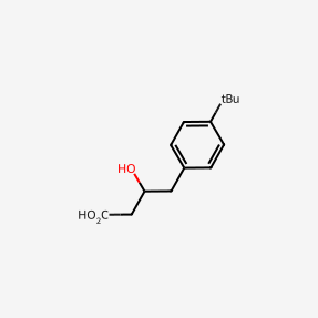 CC(C)(C)c1ccc(CC(O)CC(=O)O)cc1